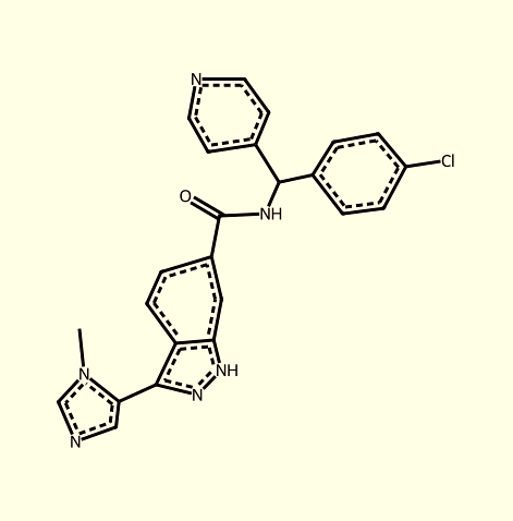 Cn1cncc1-c1n[nH]c2cc(C(=O)NC(c3ccncc3)c3ccc(Cl)cc3)ccc12